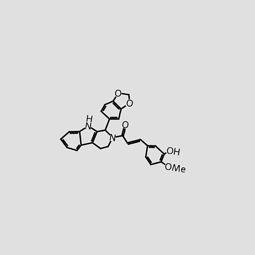 COc1ccc(/C=C/C(=O)N2CCc3c([nH]c4ccccc34)C2c2ccc3c(c2)OCO3)cc1O